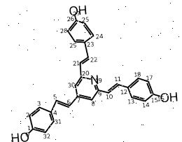 Oc1ccc(/C=C/c2cc(/C=C/c3ccc(O)cc3)nc(/C=C/c3ccc(O)cc3)c2)cc1